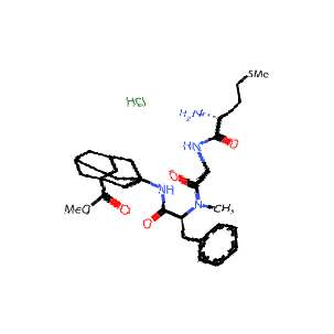 COC(=O)C12CC3CC(CC(NC(=O)[C@H](Cc4ccccc4)N(C)C(=O)CNC(=O)[C@H](N)CCSC)(C3)C1)C2.Cl